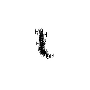 Cc1c(NC(=O)c2ccc(CNCCO)cc2)cccc1-c1cccc(-c2ccn3nc(CNCCO)nc3c2)c1C